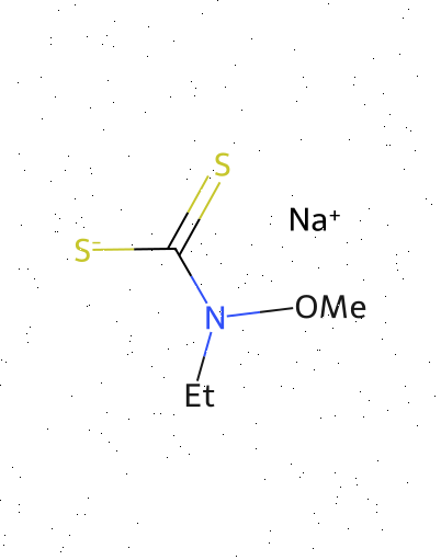 CCN(OC)C(=S)[S-].[Na+]